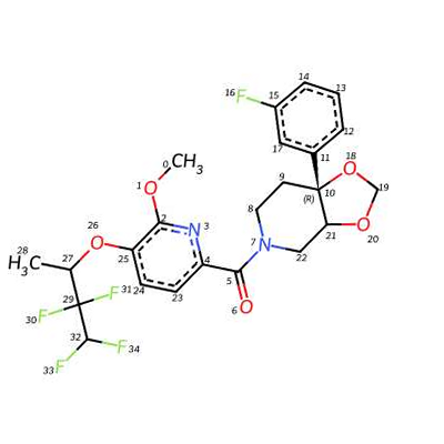 COc1nc(C(=O)N2CC[C@]3(c4cccc(F)c4)OCOC3C2)ccc1OC(C)C(F)(F)C(F)F